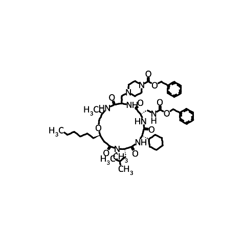 CCCCCC[C@@H]1CC(=O)N(C)[C@@H](CC(C)C)C(=O)N[C@@H](C2CCCCC2)C(=O)N[C@@H](CNC(=O)OCc2ccccc2)C(=O)NC(CN2CCN(C(=O)OCc3ccccc3)CC2)C(=O)N[C@H](C)CO1